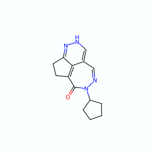 O=C1C2=C3C(=CNN=C3CC2)C=NN1C1CCCC1